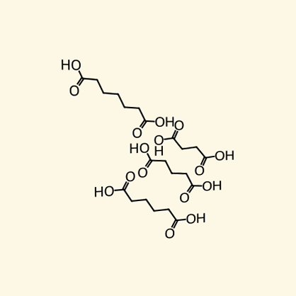 O=C(O)CCC(=O)O.O=C(O)CCCC(=O)O.O=C(O)CCCCC(=O)O.O=C(O)CCCCCC(=O)O